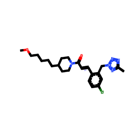 COCCCCCC1CCN(C(=O)/C=C/c2ccc(Cl)cc2Cn2nnc(C)n2)CC1